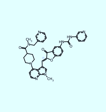 CN(Cc1cccnc1)C(=O)C1CCN(c2ccnc3c2c(/C=C2\Oc4ccc(NC(=O)Nc5cccnc5)cc4C2=O)cn3C)CC1